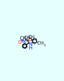 COC1=CC[C@@H](C)C=C1NC1CC(C)N(C(C)=O)c2ccccc21